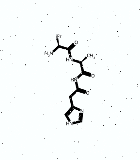 CC(C)[C@H](N)C(=O)N[C@@H](C)C(=O)NC(=O)Cc1c[nH]cn1